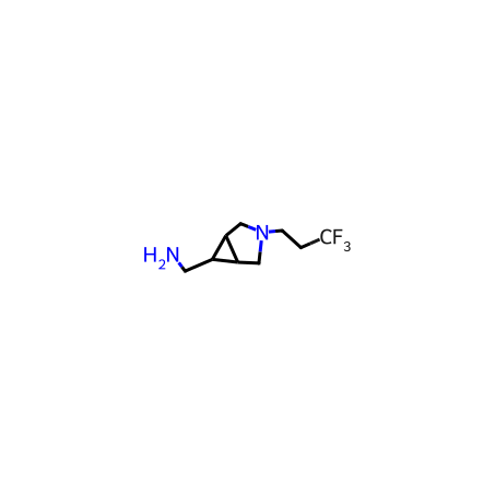 NCC1C2CN(CCC(F)(F)F)CC12